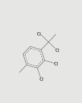 Cc1ccc(C(C)(Cl)Cl)c(Cl)c1Cl